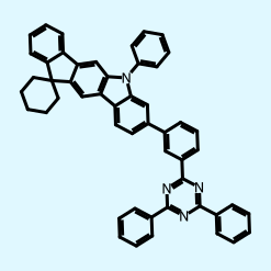 c1ccc(-c2nc(-c3ccccc3)nc(-c3cccc(-c4ccc5c6cc7c(cc6n(-c6ccccc6)c5c4)-c4ccccc4C74CCCCC4)c3)n2)cc1